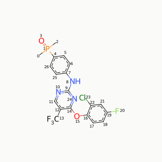 CP(C)(=O)c1ccc(Nc2ncc(C(F)(F)F)c(Oc3ccc(F)cc3Cl)n2)cc1